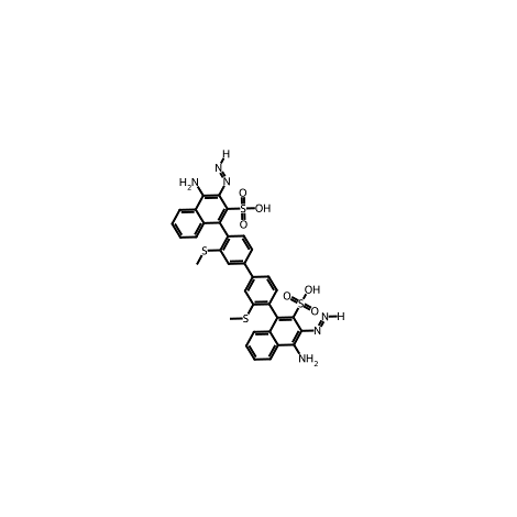 [H]/N=N/c1c(S(=O)(=O)O)c(-c2ccc(-c3ccc(-c4c(S(=O)(=O)O)c(/N=N/[H])c(N)c5ccccc45)c(SC)c3)cc2SC)c2ccccc2c1N